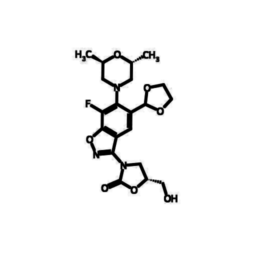 C[C@@H]1CN(c2c(C3OCCO3)cc3c(N4C[C@H](CO)OC4=O)noc3c2F)C[C@@H](C)O1